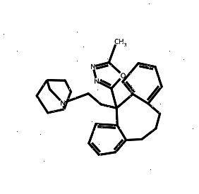 Cc1nnc(C2(CCN3CC4CCC3CC4)c3ccccc3CCCc3ccccc32)o1